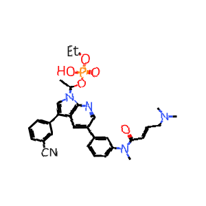 CCOP(=O)(O)OC(C)n1cc(-c2cccc(C#N)c2)c2cc(-c3cccc(N(C)C(=O)/C=C/CN(C)C)c3)cnc21